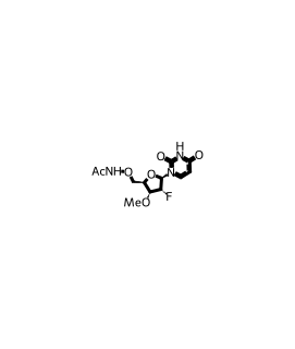 CO[C@H]1[C@@H](F)[C@H](n2ccc(=O)[nH]c2=O)O[C@@H]1CONC(C)=O